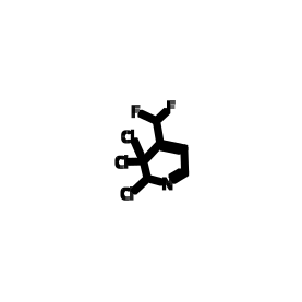 FC(F)C1=CC=NC(Cl)C1(Cl)Cl